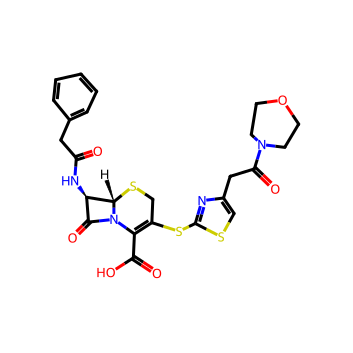 O=C(Cc1ccccc1)N[C@@H]1C(=O)N2C(C(=O)O)=C(Sc3nc(CC(=O)N4CCOCC4)cs3)CS[C@@H]12